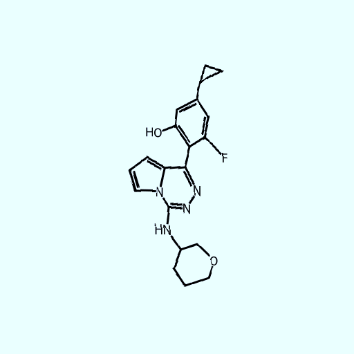 Oc1cc(C2CC2)cc(F)c1-c1nnc(NC2CCCOC2)n2cccc12